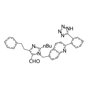 CCCCc1nc(CCc2ccccc2)c(C=O)n1Cc1ccc2nc(-c3ccccc3-c3nnn[nH]3)ccc2c1